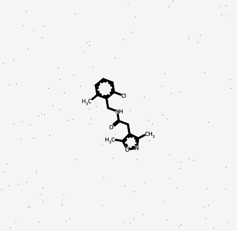 Cc1cccc(Cl)c1CNC(=O)Cc1c(C)noc1C